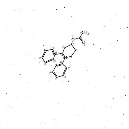 CC(=O)OC1CCN(c2ccccc2)C(c2ccccc2)C1